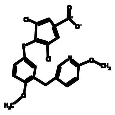 COc1ccc(Cc2cc(Sc3c(Cl)cc([N+](=O)[O-])cc3Cl)ccc2OC)cn1